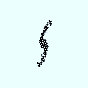 C=C(C)C(=O)OCOc1ccc(C(=O)Oc2ccc(-c3ccc(C(=O)Oc4ccc5ccccc5c4-c4c(OC(=O)c5ccc(-c6ccc(OC(=O)c7ccc(OCOC(=O)C(=C)C)cc7)cc6)cc5)ccc5ccccc45)cc3)cc2)cc1